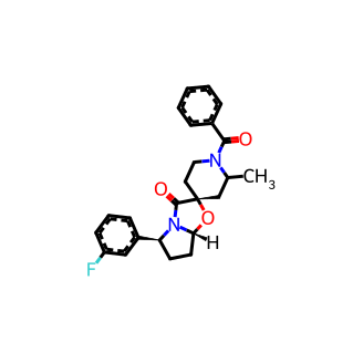 CC1C[C@@]2(CCN1C(=O)c1ccccc1)O[C@@H]1CC[C@@H](c3cccc(F)c3)N1C2=O